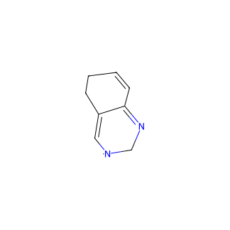 C1=CC2=NC[N]C=C2CC1